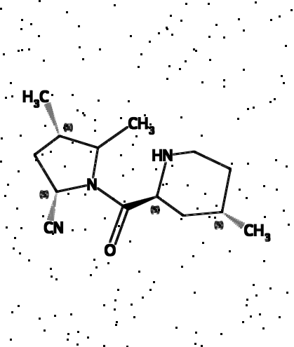 CC1[C@@H](C)C[C@@H](C#N)N1C(=O)[C@@H]1C[C@@H](C)CCN1